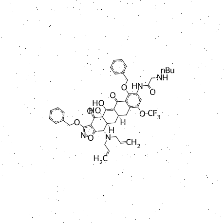 C=CCN(CC=C)[C@@H]1c2onc(OCc3ccccc3)c2C(=O)[C@@]2(O)C(O)=C3C(=O)c4c(c(OC(F)(F)F)cc(NC(=O)CNCCCC)c4OCc4ccccc4)C[C@H]3C[C@@H]12